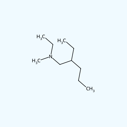 CCCC(CC)CN(C)CC